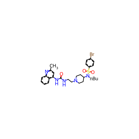 CCCCN(C1CCN(CCNC(=O)Nc2cc(C)nc3ccccc23)CC1)S(=O)(=O)c1ccc(Br)cc1